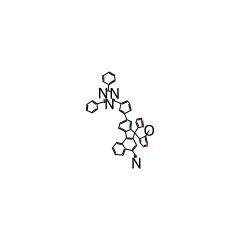 N#Cc1cc2c(c3ccccc13)-c1ccc(-c3cccc(-c4nc(-c5ccccc5)nc(-c5ccccc5)n4)c3)cc1C21c2ccccc2Oc2ccccc21